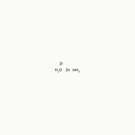 O.[InH3].[Zn].[Zr]